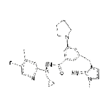 Cc1cc([C@@H](NC(=O)c2cc(Cn3ccn(C)c3=N)cc(N3CCCC3)c2)C2CC2)ncc1F